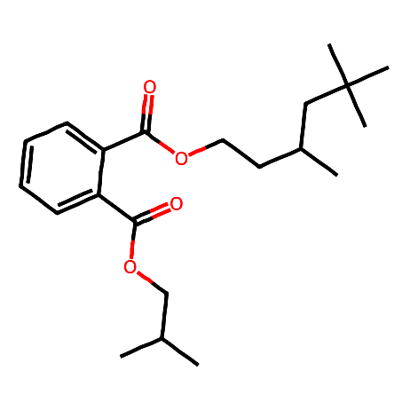 CC(C)COC(=O)c1ccccc1C(=O)OCCC(C)CC(C)(C)C